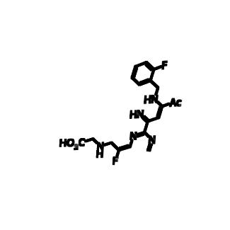 C=N/C(=N\C=C(\F)CNCC(=O)O)C(=N)/C=C(\NCc1ccccc1F)C(C)=O